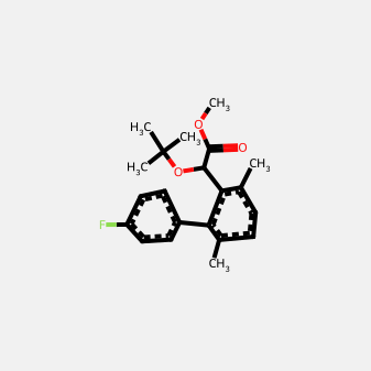 COC(=O)C(OC(C)(C)C)c1c(C)ccc(C)c1-c1ccc(F)cc1